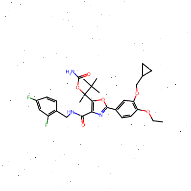 CCOc1ccc(-c2nc(C(=O)NCc3ccc(F)cc3F)c(C(C)(OC(N)=O)C(C)(C)C)o2)cc1OCC1CC1